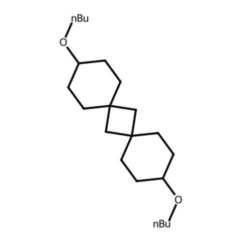 CCCCOC1CCC2(CC1)CC1(CCC(OCCCC)CC1)C2